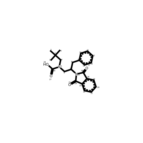 CC(C)(C)CN(CC(Cc1ccccc1)N1C(=O)c2ccccc2C1=O)C(=O)O